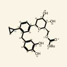 CC(C)COC(=O)OC[C@H]1O[C@@H](c2ccc(C3CC3)c(Cc3ccc(O)c(O)c3)c2)C[C@@H](O)[C@@H]1O